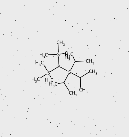 CC(C)S(C(C)C)(C(C)C)P(S(C)(C)C)S(C)(C)C